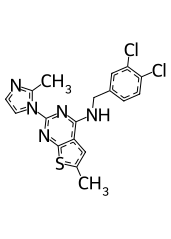 Cc1cc2c(NCc3ccc(Cl)c(Cl)c3)nc(-n3ccnc3C)nc2s1